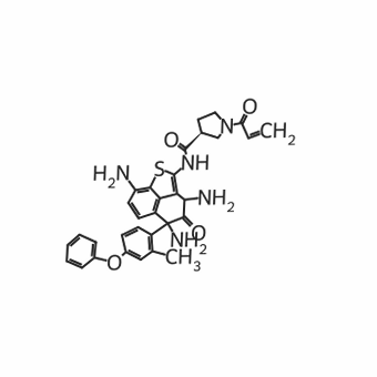 C=CC(=O)N1CC[C@H](C(=O)Nc2sc3c(N)ccc4c3c2C(N)C(=O)C4(N)c2ccc(Oc3ccccc3)cc2C)C1